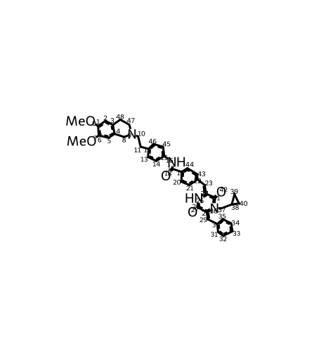 COc1cc2c(cc1OC)CN(CCc1ccc(NC(=O)c3ccc(/C=c4\[nH]c(=O)/c(=C/c5ccccc5)n(CC5CC5)c4=O)cc3)cc1)CC2